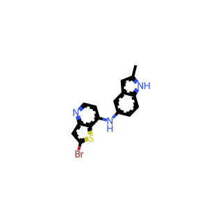 Cc1cc2cc(Nc3ccnc4cc(Br)sc34)ccc2[nH]1